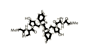 CNCC(=O)NC(CC(C)C)C(=O)N1CC(O)CC1Cn1c(-c2nc3cc(F)ccc3n2CC2CC(O)CN2C(=O)C(NC(=O)CNC)C(C)C)nc2cc(F)ccc21